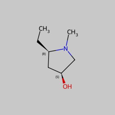 CC[C@@H]1C[C@H](O)CN1C